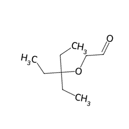 CCC(CC)(CC)OCC=O